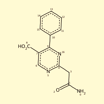 NC(=O)Cc1ncc(C(=O)O)c(-c2ccccc2)n1